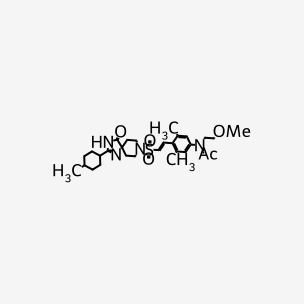 COCCN(C(C)=O)c1cc(C)c(C=CS(=O)(=O)N2CCC3(CC2)N=C(C2CCC(C)CC2)NC3=O)c(C)c1